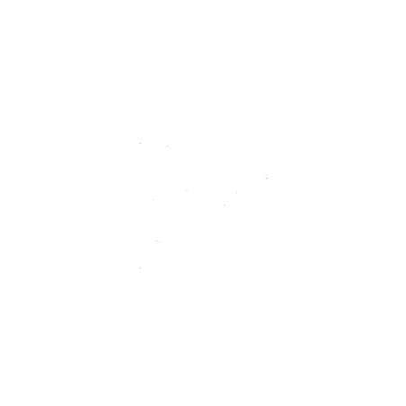 CCc1ncnc(-c2ccc(C(=O)N3CCN4CCC[C@H]4C3)c(OC(F)(F)F)c2)c1C#Cc1ccc(N)nc1